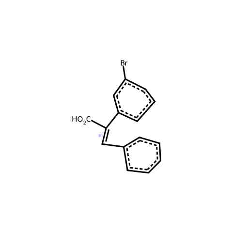 O=C(O)/C(=C/c1ccccc1)c1cccc(Br)c1